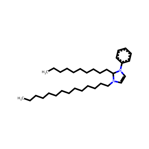 CCCCCCCCCCCCCCN1C=CN(c2ccccc2)C1CCCCCCCCCC